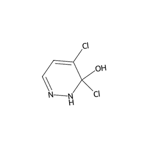 OC1(Cl)NN=CC=C1Cl